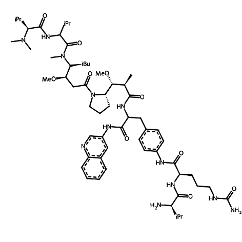 CC[C@H](C)C([C@@H](CC(=O)N1CCC[C@H]1[C@H](OC)[C@@H](C)C(=O)NC(Cc1ccc(NC(=O)[C@@H](CCCNC(N)=O)NC(=O)[C@H](N)C(C)C)cc1)C(=O)Nc1cnc2ccccc2c1)OC)N(C)C(=O)C(NC(=O)[C@H](C(C)C)N(C)C)C(C)C